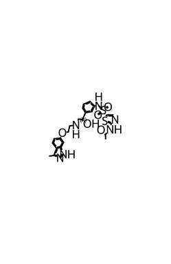 CC(=O)Nc1ncc(S(=O)(=O)Nc2cccc([C@@H](O)CNCCOc3ccc4c(C)n[nH]c4c3)c2)s1